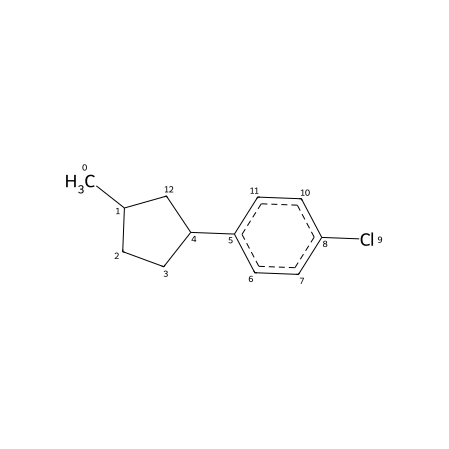 CC1CCC(c2ccc(Cl)cc2)C1